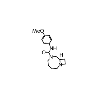 COc1ccc(NC(=O)N2CCCCN3CC[C@@H]3C2)cc1